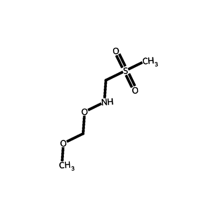 COCONCS(C)(=O)=O